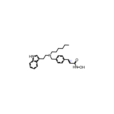 CCCCCCN(CCc1c[nH]c2ccccc12)Cc1ccc(/C=C/C(=O)NO)cc1